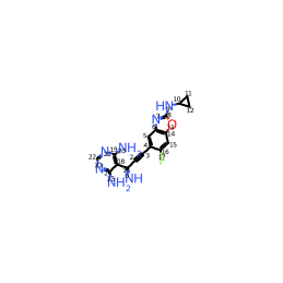 N=C(C#Cc1cc2nc(NC3CC3)oc2cc1F)c1c(N)ncnc1N